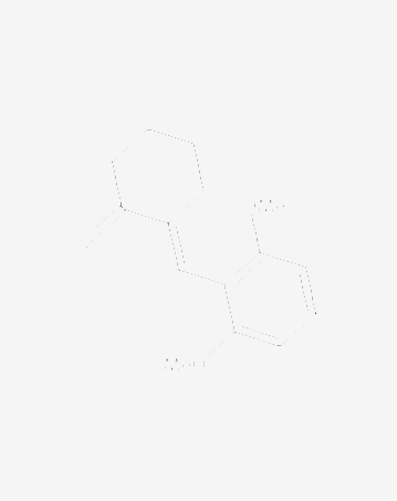 COc1cccc(OC)c1C=C1CCCCC1=O